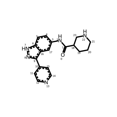 O=C(Nc1ccc2[nH]nc(-c3ccncc3)c2c1)C1CCCNC1